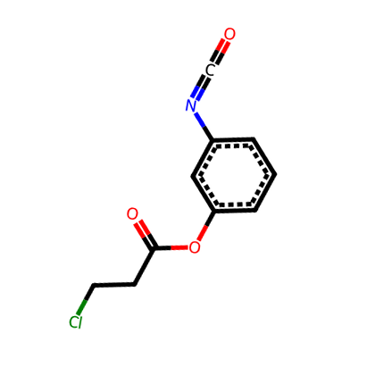 O=C=Nc1cccc(OC(=O)CCCl)c1